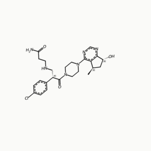 C[C@@H]1C[C@@H](O)c2ncnc(N3CCN(C(=O)[C@@H](CNCCC(N)=O)c4ccc(Cl)cc4)CC3)c21